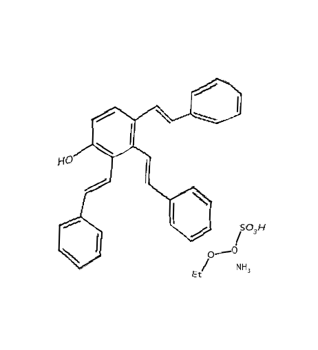 CCOOS(=O)(=O)O.N.Oc1ccc(/C=C/c2ccccc2)c(/C=C/c2ccccc2)c1/C=C/c1ccccc1